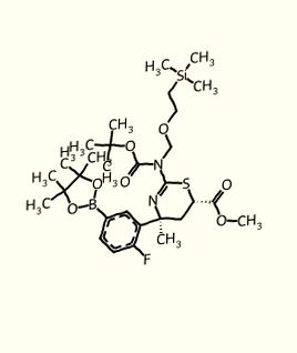 COC(=O)[C@@H]1C[C@@](C)(c2cc(B3OC(C)(C)C(C)(C)O3)ccc2F)N=C(N(COCC[Si](C)(C)C)C(=O)OC(C)(C)C)S1